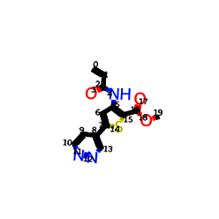 C=CC(=O)Nc1cc(-c2ccnnc2)sc1C(=O)OC